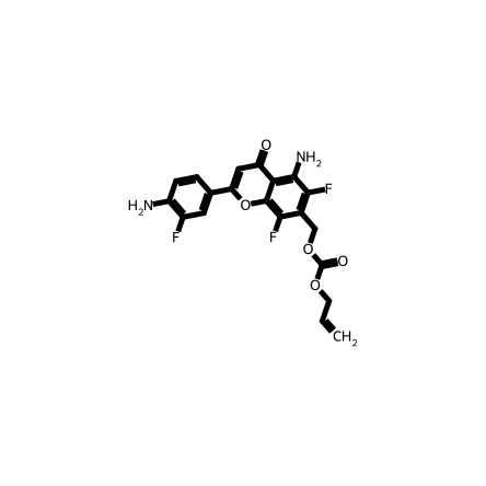 C=CCOC(=O)OCc1c(F)c(N)c2c(=O)cc(-c3ccc(N)c(F)c3)oc2c1F